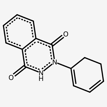 O=c1[nH]n(C2=CC=CCC2)c(=O)c2ccccc12